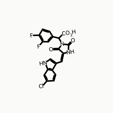 O=C(O)C(c1ccc(F)c(F)c1)N1C(=O)NC(=Cc2c[nH]c3cc(Cl)ccc23)C1=O